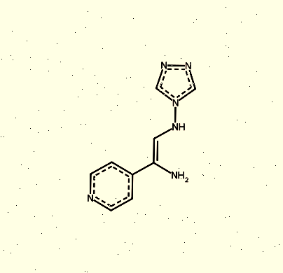 N/C(=C\Nn1cnnc1)c1ccncc1